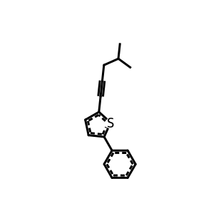 CC(C)CC#Cc1ccc(-c2ccccc2)s1